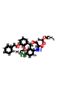 COC(=O)C[C@H]1O[C@H](c2cccc(OCc3ccccc3)c2OC)c2cc(Cl)ccc2NC1=O